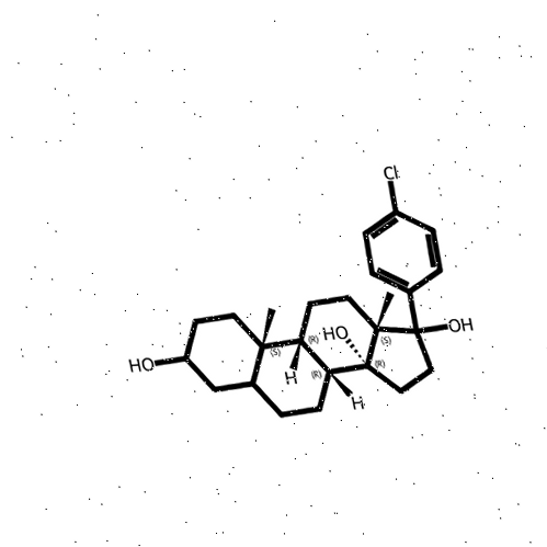 C[C@]12CCC(O)CC1CC[C@@H]1[C@H]2CC[C@]2(C)C(O)(c3ccc(Cl)cc3)CC[C@@]12O